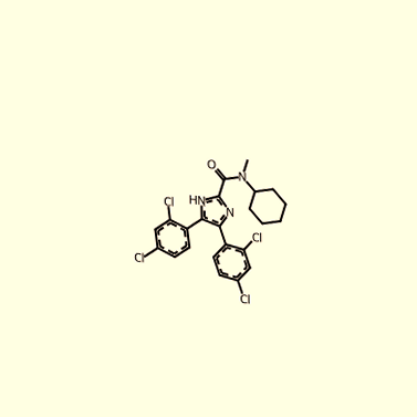 CN(C(=O)c1nc(-c2ccc(Cl)cc2Cl)c(-c2ccc(Cl)cc2Cl)[nH]1)C1CCCCC1